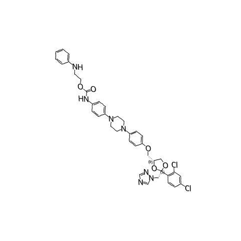 O=C(Nc1ccc(N2CCN(c3ccc(OC[C@@H]4CO[C@@](Cn5cncn5)(c5ccc(Cl)cc5Cl)O4)cc3)CC2)cc1)OCCNc1ccccc1